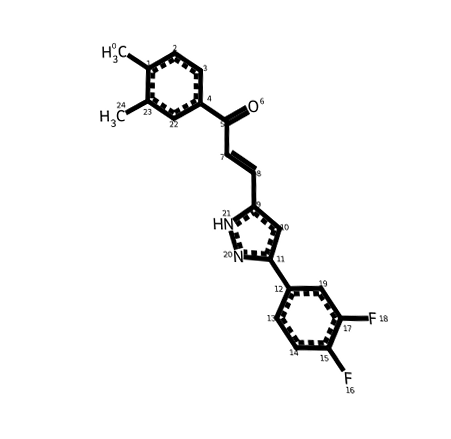 Cc1ccc(C(=O)C=Cc2cc(-c3ccc(F)c(F)c3)n[nH]2)cc1C